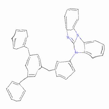 c1ccc(-c2cc(-c3ccccc3)cc(-c3cccc(-n4c5ccccc5n5c6ccccc6nc45)c3)c2)cc1